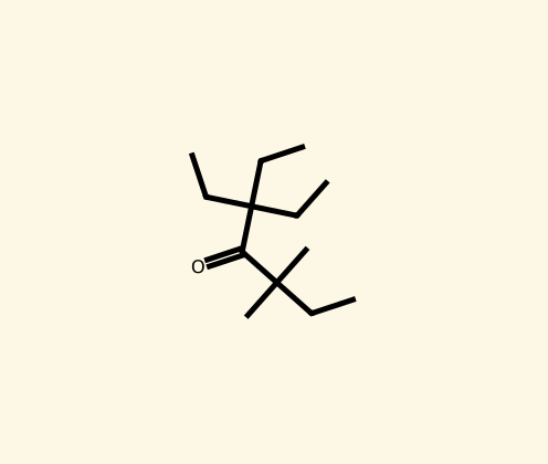 CCC(C)(C)C(=O)C(CC)(CC)CC